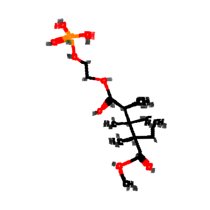 CCC(C)(C(=O)OC)C(C)(C)C(C)C(=O)OCCOP(=O)(O)O